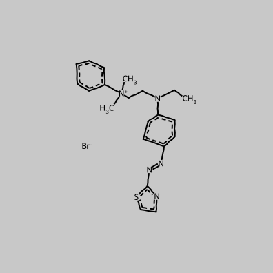 CCN(CC[N+](C)(C)c1ccccc1)c1ccc(N=Nc2nccs2)cc1.[Br-]